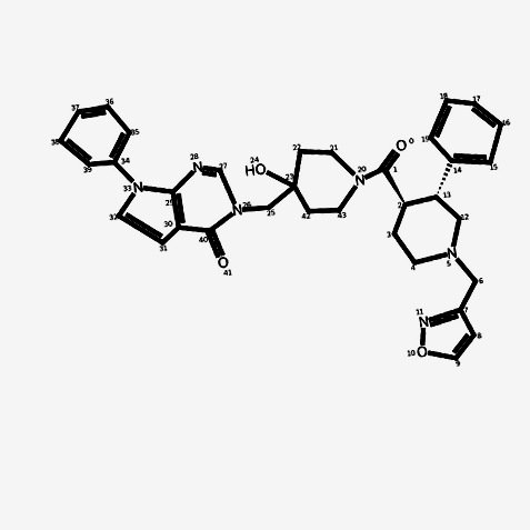 O=C([C@@H]1CCN(Cc2ccon2)C[C@H]1c1ccccc1)N1CCC(O)(Cn2cnc3c(ccn3-c3ccccc3)c2=O)CC1